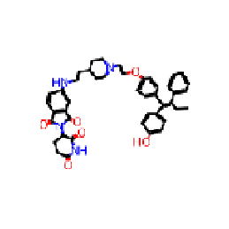 CCC(=C(c1ccc(O)cc1)c1ccc(OCCN2CCC(CCNc3ccc4c(c3)C(=O)N(C3CCC(=O)NC3=O)C4=O)CC2)cc1)c1ccccc1